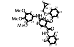 COc1cc(Nc2ncc(C(=O)Nc3c(C)cccc3C)c(Oc3ccccc3OCC3CC3)n2)cc(OC)c1OC